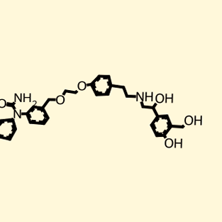 NC(=O)N(c1ccccc1)c1cccc(COCCOc2ccc(CCNCC(O)c3ccc(O)c(CO)c3)cc2)c1